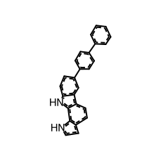 c1ccc(-c2ccc(-c3ccc4[nH]c5c(ccc6cc[nH]c65)c4c3)cc2)cc1